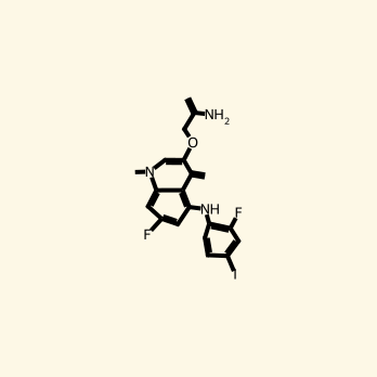 C=C(N)COC1=CN(C)c2cc(F)cc(Nc3ccc(I)cc3F)c2C1=C